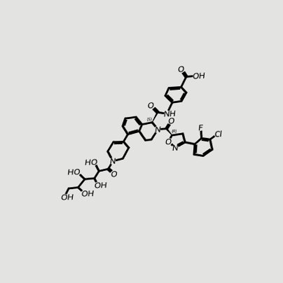 O=C(O)c1ccc(NC(=O)[C@@H]2c3cccc(C4=CCN(C(=O)C(O)C(O)C(O)C(O)CO)CC4)c3CCN2C(=O)[C@H]2CC(c3cccc(Cl)c3F)=NO2)cc1